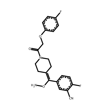 N#Cc1cc(C(ON)=C2CCN(C(=O)COc3ccc(F)cc3)CC2)ccc1F